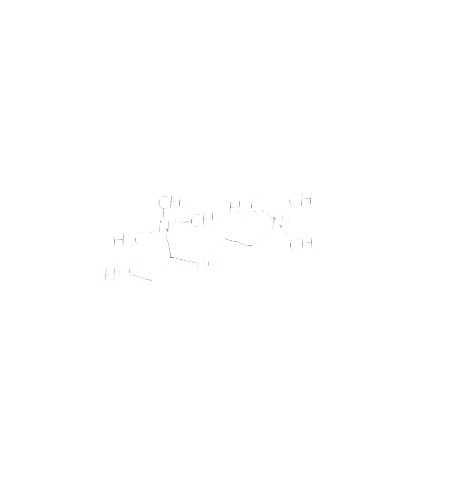 C[N+](C)(C)CCOC(CO)[N+](C)(C)C